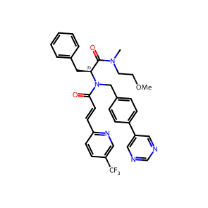 COCCN(C)C(=O)[C@H](Cc1ccccc1)N(Cc1ccc(-c2cncnc2)cc1)C(=O)C=Cc1ccc(C(F)(F)F)cn1